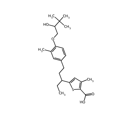 CCC(CCc1ccc(OCC(O)C(C)(C)C)c(C)c1)c1cc(C)c(C(=O)O)s1